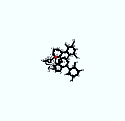 Cc1cc(C)c(C)c(-c2cccc3c2C=C[CH]3[Hf]([CH3])([CH3])(=[SiH2])([CH](C)C)([CH](C)C)[CH]2C=Cc3c(-c4c(C)c(C)cc(C)c4C)cccc32)c1C